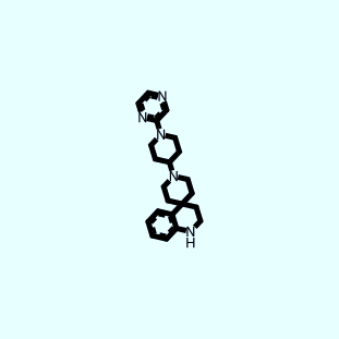 c1ccc2c(c1)NCCC21CCN(C2CCN(c3cnccn3)CC2)CC1